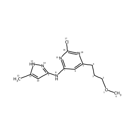 COCCCc1cc(Nc2cc(C)[nH]n2)nc(Cl)n1